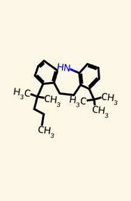 CCCC(C)(C)c1cccc2c1CCc1c(cccc1C(C)(C)C)N2